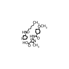 CCCCCONc1cccnc1.COc1ccc(C(=O)Nc2nc(C)c(C(=O)O)s2)cc1